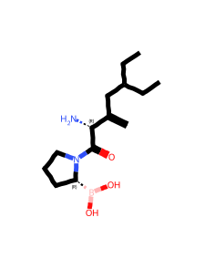 C=C(CC(CC)CC)[C@@H](N)C(=O)N1CCC[C@H]1B(O)O